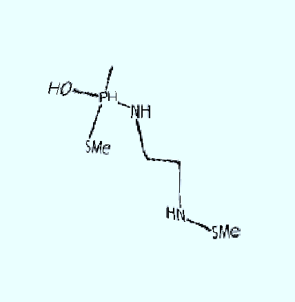 CSNCCN[PH](C)(O)SC